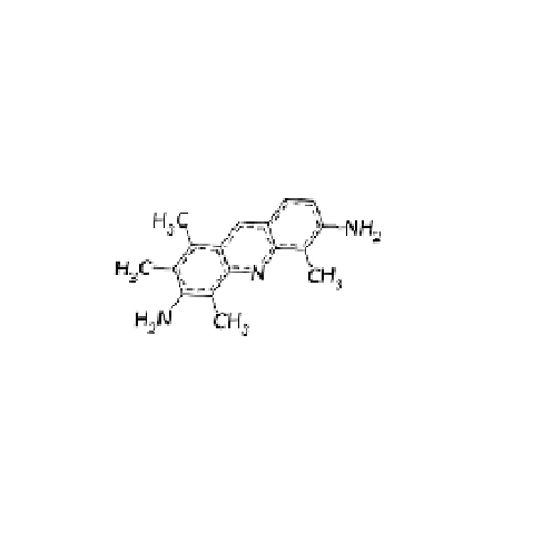 Cc1c(N)c(C)c2nc3c(C)c(N)ccc3cc2c1C